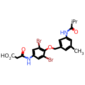 Cc1cc(COc2c(Br)cc(NC(=O)CC(=O)O)cc2Br)cc(NC(=O)C(C)C)c1